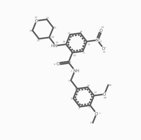 COc1ccc(CNC(=O)c2cc([N+](=O)[O-])ccc2NC2CCOCC2)cc1OC